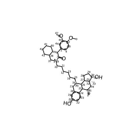 COc1ccc(CC(=O)N(CCCCCC[C@@H]2Cc3cc(O)ccc3C3C2C2CC[C@H](O)[C@@]2(C)C[C@@H]3F)CC2CCCCC2)cc1OC